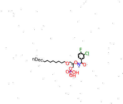 CCCCCCCCCCCCCCCCCCOC[C@H](COP(=O)(O)O)ON(C)C(=O)c1ccc(F)c(Cl)c1